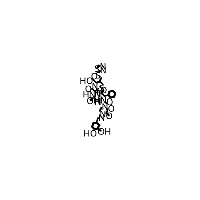 O=CN[C@@]1(NC(=O)[C@H](NC(=O)N2CCN(N=Cc3ccc(O)c(O)c3)C(=O)C2=O)c2ccccc2)C(=O)N2C(C(=O)O)=C(CSc3nncs3)CS[C@@H]21